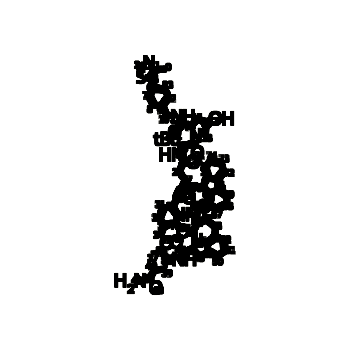 Cc1ncsc1-c1ccc(CNC(=O)[C@@H]2C[C@@H](O)CN2C(=O)[C@@H](NC(=O)CCC#Cc2ccc(CO[C@H](C)[C@H](CCC(N)=O)NC(=O)[C@@H]3Cc4cccc5c4N3C(=O)[C@@H](NC(=O)OCC3c4ccccc4-c4ccccc43)CC5)cc2)C(C)(C)C)cc1